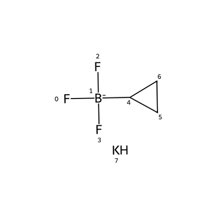 F[B-](F)(F)C1CC1.[KH]